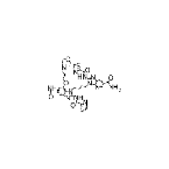 NC(=O)c1cnc2c(c1)nc(NC(=O)c1nccs1)n2C/C=C/Cn1c(NC(=O)c2nccs2)nc2cc(C(N)=O)cc(OCCCN3CCOCC3)c21